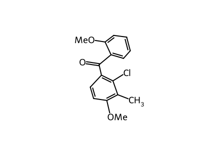 COc1ccccc1C(=O)c1ccc(OC)c(C)c1Cl